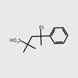 CCC(C)(CC(C)(C)S(=O)(=O)O)c1ccccc1